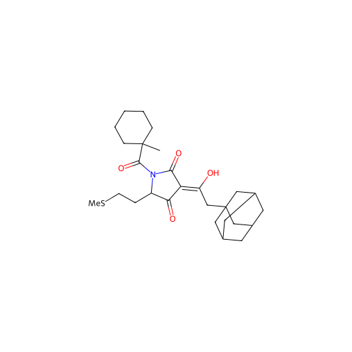 CSCCC1C(=O)/C(=C(/O)CC23CC4CC(CC(C4)C2)C3)C(=O)N1C(=O)C1(C)CCCCC1